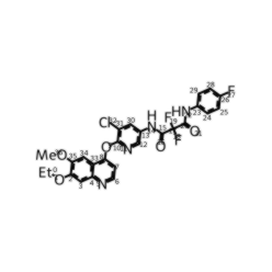 CCOc1cc2nccc(Oc3ncc(NC(=O)C(F)(F)C(=O)Nc4ccc(F)cc4)cc3Cl)c2cc1OC